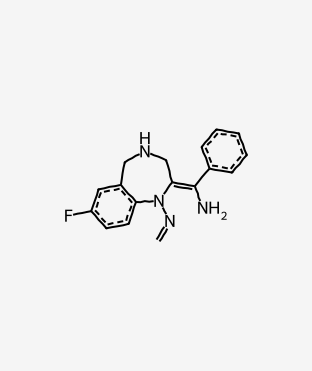 C=NN1/C(=C(\N)c2ccccc2)CNCc2cc(F)ccc21